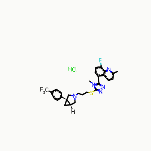 Cc1ccc2c(-c3nnc(SCCCN4C[C@@H]5C[C@]5(c5ccc(C(F)(F)F)cc5)C4)n3C)ccc(F)c2n1.Cl